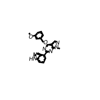 COc1cccc(COc2nc(-c3cccc4[nH]ncc34)nc3c2cnn3C)c1